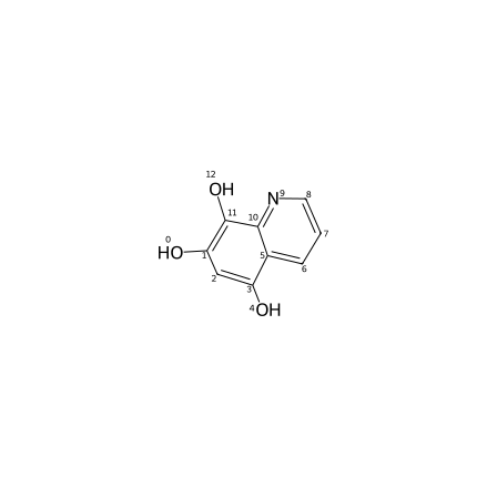 Oc1cc(O)c2cccnc2c1O